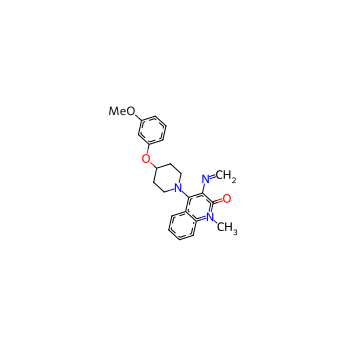 C=Nc1c(N2CCC(Oc3cccc(OC)c3)CC2)c2ccccc2n(C)c1=O